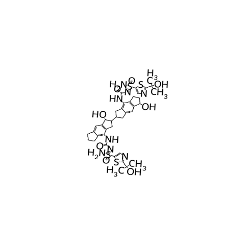 CC(C)(O)c1ncc(S(N)(=O)=NC(=O)Nc2c3c(cc4c2CCC4O)CC(C2Cc4c(cc5c(c4NC(=O)N=S(N)(=O)c4cnc(C(C)(C)O)s4)CCC5)C2O)C3)s1